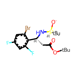 CC(C)(C)OC(=O)C[C@@H](N[S@@+]([O-])C(C)(C)C)c1c(F)cc(F)cc1Br